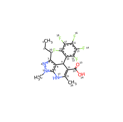 CCCc1nn(C)c2c1C(c1c(F)c(F)c(F)c(F)c1F)C(C(=O)O)=C(C)N2